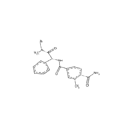 Cc1cc(C(=O)NC(C(=O)N(C)C(C)C)c2ccccc2)ccc1C(N)=O